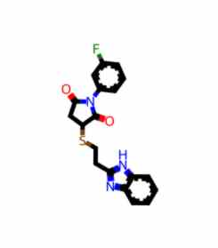 O=C1CC(SCCc2nc3ccccc3[nH]2)C(=O)N1c1cccc(F)c1